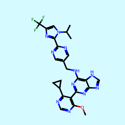 COc1ncnc(C2CC2)c1-c1nc(NCc2cnc(-c3nc(C(F)(F)F)cn3C(C)C)nc2)c2[nH]cnc2n1